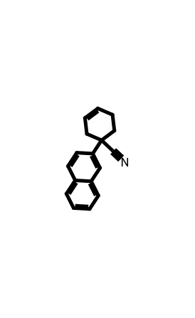 N#CC1(c2ccc3ccccc3c2)CC=CCC1